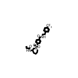 C=CC(=O)NC1CCCCN(S(=O)(=O)c2ccc(C(=O)NCCc3ccc(C(F)(F)F)cc3)cc2)C1